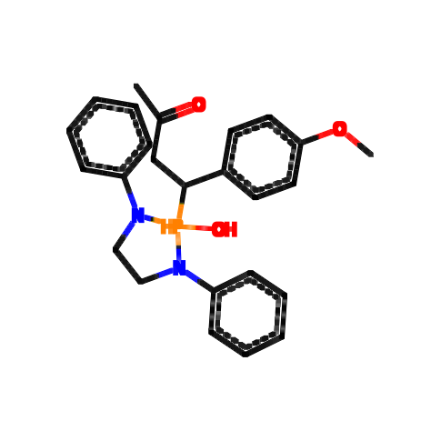 COc1ccc(C(CC(C)=O)[PH]2(O)N(c3ccccc3)CCN2c2ccccc2)cc1